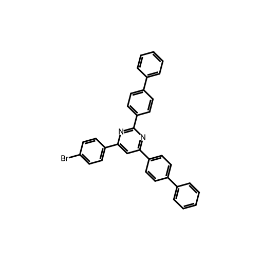 Brc1ccc(-c2cc(-c3ccc(-c4ccccc4)cc3)nc(-c3ccc(-c4ccccc4)cc3)n2)cc1